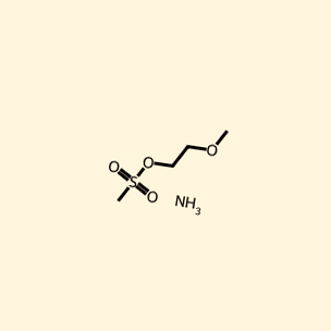 COCCOS(C)(=O)=O.N